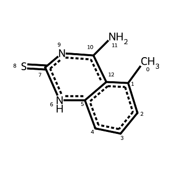 Cc1cccc2[nH]c(=S)nc(N)c12